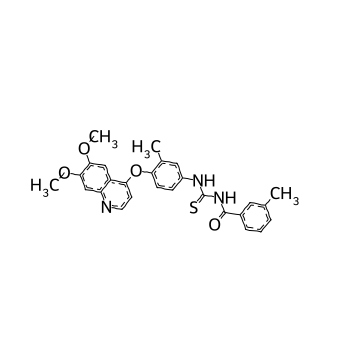 COc1cc2nccc(Oc3ccc(NC(=S)NC(=O)c4cccc(C)c4)cc3C)c2cc1OC